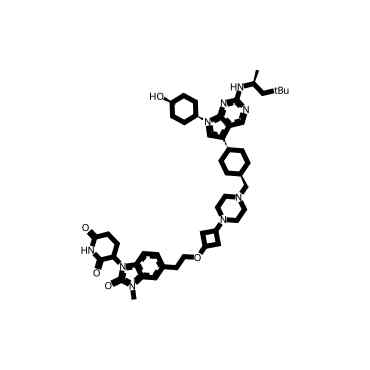 C[C@@H](CC(C)(C)C)Nc1ncc2c(n1)n([C@H]1CC[C@H](O)CC1)cc2[C@H]1CC[C@H](CN2CCN(C3CC(OCCc4ccc5c(c4)n(C)c(=O)n5C4CCC(=O)NC4=O)C3)CC2)CC1